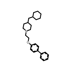 [c]1ccc(-c2ccc(OCCN3CCC(CC4CCCCC4)CC3)cc2)cc1